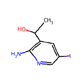 CC(O)c1cc(I)cnc1N